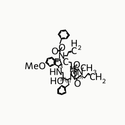 C=CC[C@@H](C(=O)N[C@@H](Cc1ccccc1)[C@H](O)CNC1CC(N(CC=C)C(=O)OCc2ccccc2)c2ccc(OC)cc21)N(C)S(=O)(=O)CCC(F)(F)F